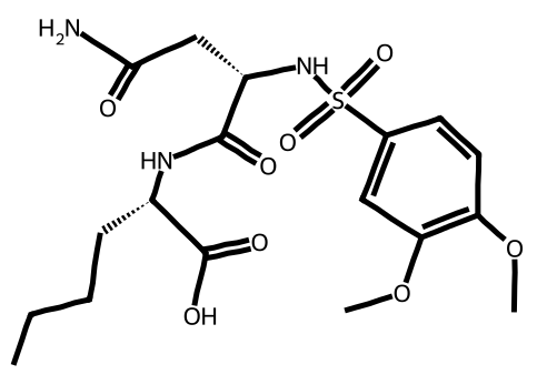 CCCC[C@H](NC(=O)[C@H](CC(N)=O)NS(=O)(=O)c1ccc(OC)c(OC)c1)C(=O)O